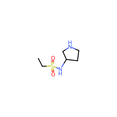 CCS(=O)(=O)NC1CCNC1